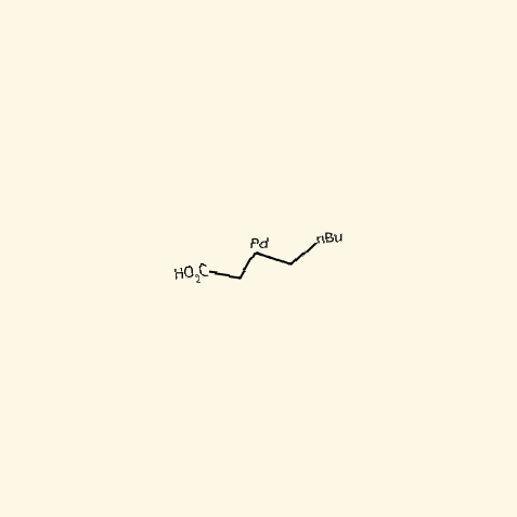 CCCCCCCC(=O)O.[Pd]